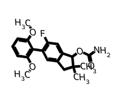 COc1cccc(OC)c1-c1cc2c(cc1F)C(OC(N)=O)C(C)(C)C2